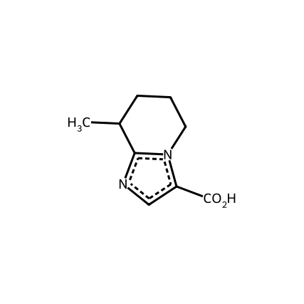 CC1CCCn2c(C(=O)O)cnc21